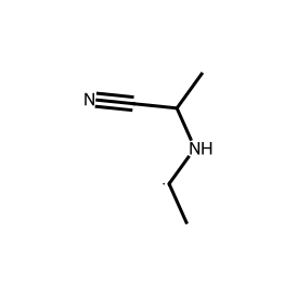 C[CH]NC(C)C#N